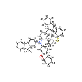 CC1(C)c2ccccc2-c2ccc(N(c3ccc4c(c3)C3(c5ccccc5Sc5ccccc53)c3ccc5ccccc5c3-4)c3ccc4c(c3)oc3ccccc34)cc21